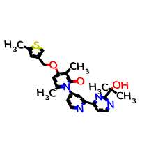 Cc1cc(COc2cc(C)n(-c3ccnc(-c4ccnc(C(C)(C)O)n4)c3)c(=O)c2C)cs1